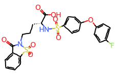 O=C(O)[C@@H](CCCN1C(=O)c2ccccc2S1(=O)=O)NS(=O)(=O)c1ccc(Oc2ccc(F)cc2)cc1